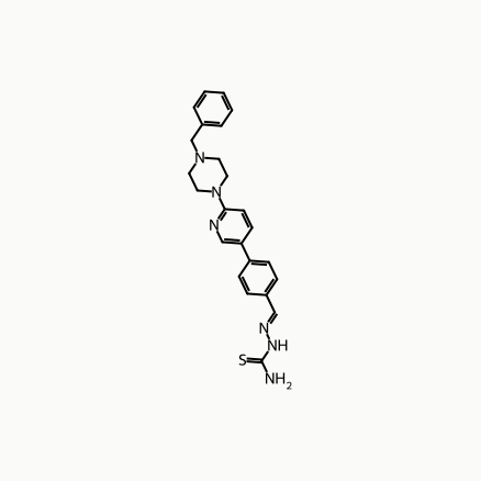 NC(=S)N/N=C/c1ccc(-c2ccc(N3CCN(Cc4ccccc4)CC3)nc2)cc1